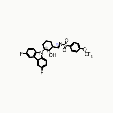 O=S(=O)(/N=C/C1CCC[C@H](n2c3ccc(F)cc3c3cc(F)ccc32)[C@H]1O)c1ccc(OC(F)(F)F)cc1